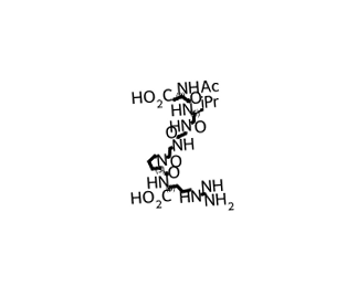 CC(=O)N[C@@H](CC(=O)O)C(=O)N[C@@H](CC(C)C)C(=O)NCC(=O)NCC(=O)N1CCC[C@H]1C(=O)N[C@@H](CCCNC(=N)N)C(=O)O